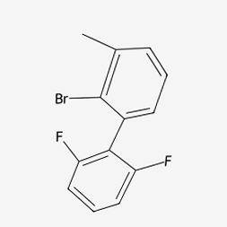 Cc1cccc(-c2c(F)cccc2F)c1Br